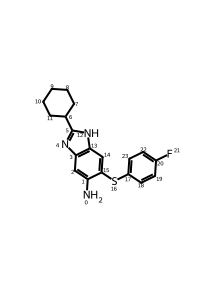 Nc1cc2nc(C3CCCCC3)[nH]c2cc1Sc1ccc(F)cc1